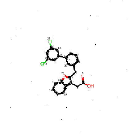 O=C(O)Cc1c(Cc2cccc(-c3cc(Cl)cc(Cl)c3)c2)oc2ccccc12